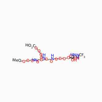 COCCOCCOCCOCCNC(=O)CCOCC(COCCC(=O)NCCOCCOCCOCCOC[C@H]1OC[C@H](Nc2cncc(C(F)(F)F)n2)[C@@H](O)[C@H]1O)NC(=O)COCCOCCOCC(=O)O